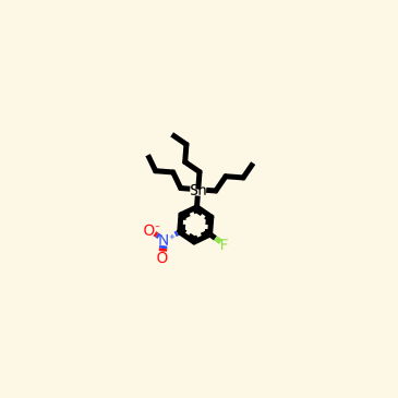 CCC[CH2][Sn]([CH2]CCC)([CH2]CCC)[c]1cc(F)cc([N+](=O)[O-])c1